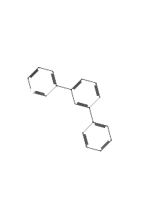 [c]1cccc(-c2cccc(-c3cccnc3)c2)c1